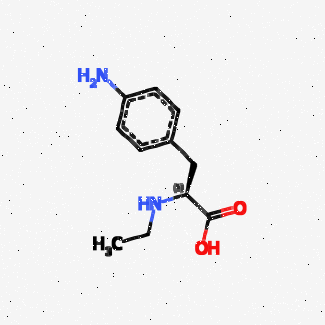 CCN[C@@H](Cc1ccc(N)cc1)C(=O)O